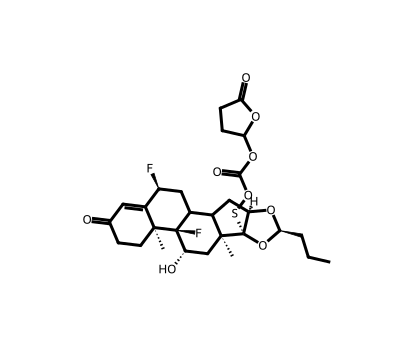 CCC[C@@H]1O[C@@H]2CC3C4C[C@H](F)C5=CC(=O)CC[C@]5(C)[C@@]4(F)[C@@H](O)C[C@]3(C)[C@]2(SOC(=O)OC2CCC(=O)O2)O1